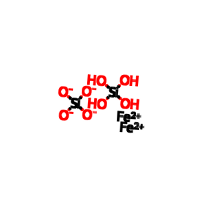 O[Si](O)(O)O.[Fe+2].[Fe+2].[O-][Si]([O-])([O-])[O-]